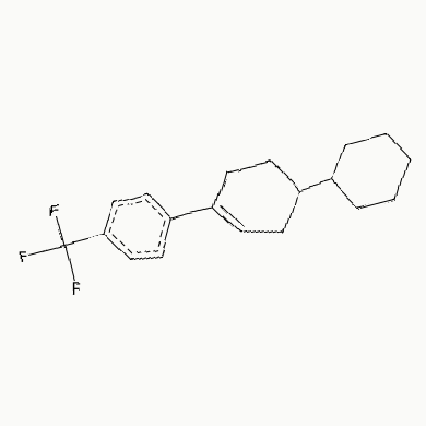 FC(F)(F)c1ccc(C2=CCC(C3CCCCC3)CC2)cc1